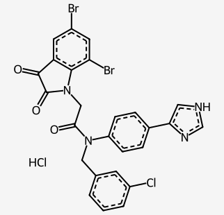 Cl.O=C1C(=O)N(CC(=O)N(Cc2cccc(Cl)c2)c2ccc(-c3c[nH]cn3)cc2)c2c(Br)cc(Br)cc21